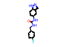 O=C(NCc1ccc(F)cc1)Nc1ccc2[nH]ncc2c1